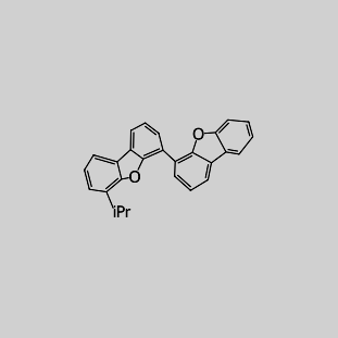 CC(C)c1cccc2c1oc1c(-c3cccc4c3oc3ccccc34)cccc12